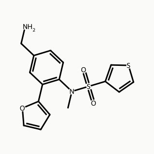 CN(c1ccc(CN)cc1-c1ccco1)S(=O)(=O)c1ccsc1